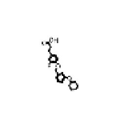 O=C(O)CCc1ccc(OCc2cccc(OC3CCCCC3)c2)c(F)c1